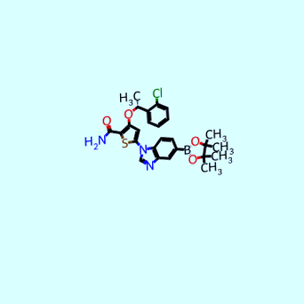 C[C@@H](Oc1cc(-n2cnc3cc(B4OC(C)(C)C(C)(C)O4)ccc32)sc1C(N)=O)c1ccccc1Cl